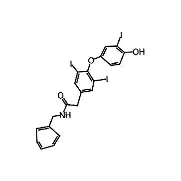 O=C(Cc1cc(I)c(Oc2ccc(O)c(I)c2)c(I)c1)NCc1ccccc1